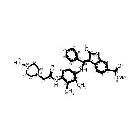 COC(=O)c1ccc2c(c1)NC(=O)C2=C(Nc1ccc(NC(=O)CN2CCN(C)CC2)c(C)c1C)c1ccccc1